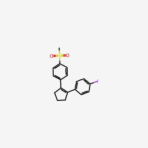 CS(=O)(=O)c1ccc(C2=C(c3ccc(I)cc3)CCC2)cc1